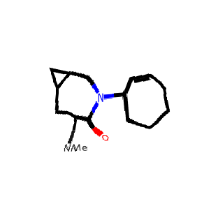 CNC1CC2CC2CN(C2C=CCCCC2)C1=O